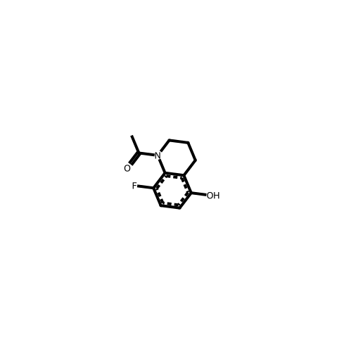 CC(=O)N1CCCc2c(O)ccc(F)c21